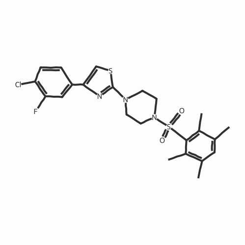 Cc1cc(C)c(C)c(S(=O)(=O)N2CCN(c3nc(-c4ccc(Cl)c(F)c4)cs3)CC2)c1C